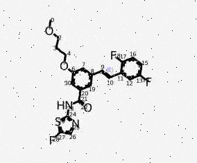 COCCCOc1cc(/C=C/c2cc(F)ccc2F)cc(C(=O)Nc2ncc(F)s2)c1